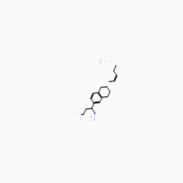 CCC/C=C\C[C@H]1CCc2cc(C(CN)CCC)ccc2C1